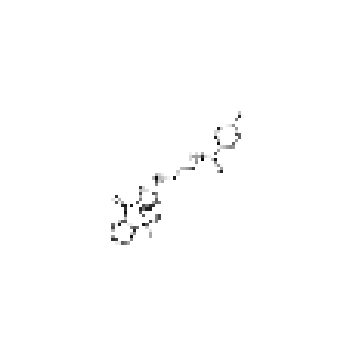 O=C(NCCCNc1ncc(C(=O)c2ccccc2C(F)(F)F)s1)c1ccc(Cl)cc1